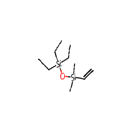 C=C[Si](C)(C)O[Si](CC)(CC)CC